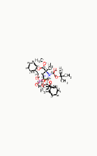 COC(=O)C(C)(/C=C(\F)P(=O)(OCc1ccccc1)OCc1ccccc1)N(C(=O)OC(C)(C)C)C(=O)OC(C)(C)C